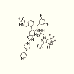 C=C1NCc2c1cccc2-c1cc2sc(N3CCN(c4ccncc4)CC3)nc2nc1[C@H](Cc1cc(F)cc(F)c1)NC(=O)Cn1nc(C(F)(F)F)c2c1C(F)(F)[C@@H]1C[C@H]21